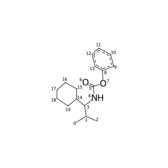 CC(C)C(NC(=O)Oc1ccccc1)C1CCCCC1